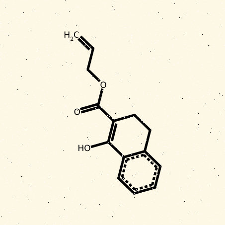 C=CCOC(=O)C1=C(O)c2ccccc2CC1